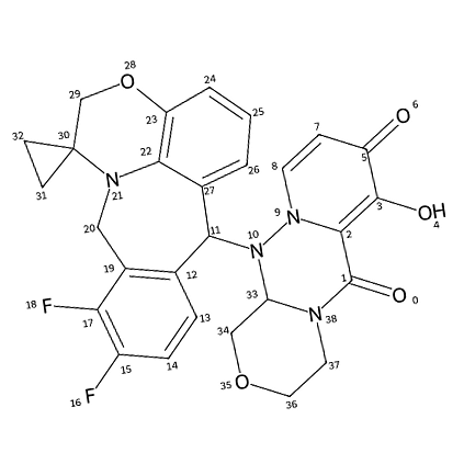 O=C1c2c(O)c(=O)ccn2N(C2c3ccc(F)c(F)c3CN3c4c(cccc42)OCC32CC2)C2COCCN12